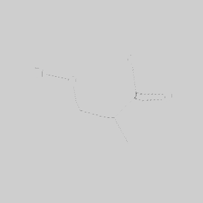 CCOCC(C)C(=O)Cl